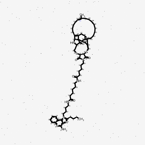 CCCCc1nc2c(N)nc3ccccc3c2n1CCCCNC(=O)CCCCCNC(=O)CCCCCN1C(=O)C2SCC3NC4CC5=C6CCCC/C=C(/C)CCCCCCCCC4C(C3=O)C53C(=O)C(CSC2C1=O)NC63